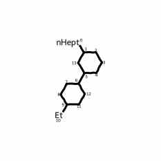 CCCCCCCC1CCCC(C2CCC(CC)CC2)C1